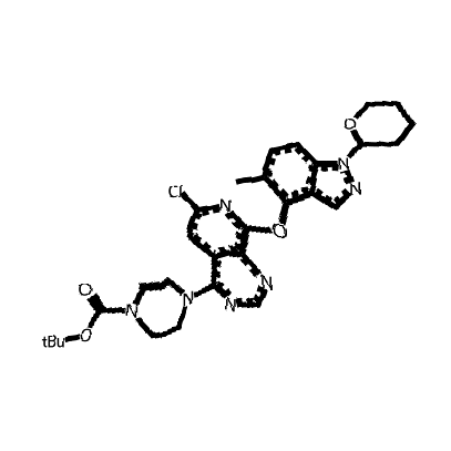 Cc1ccc2c(cnn2C2CCCCO2)c1Oc1nc(Cl)cc2c(N3CCN(C(=O)OC(C)(C)C)CC3)ncnc12